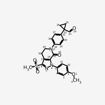 COc1ccc(-n2nc(S(C)(=O)=O)c3c2C(=O)N(c2ccc(C4(C=O)CC4)cc2)CC3)cc1